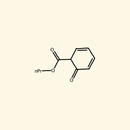 CCCOC(=O)C1C=CC=CC1=O